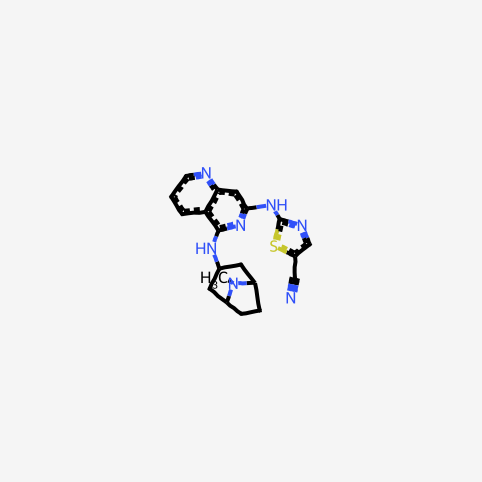 CN1C2CCC1CC(Nc1nc(Nc3ncc(C#N)s3)cc3ncccc13)C2